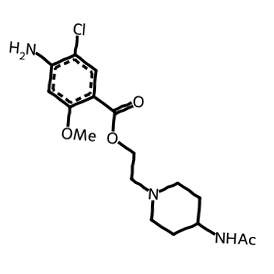 COc1cc(N)c(Cl)cc1C(=O)OCCN1CCC(NC(C)=O)CC1